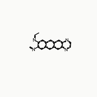 C=Nc1cc2cc3cc4nccnc4cc3cc2cc1/N=C\C